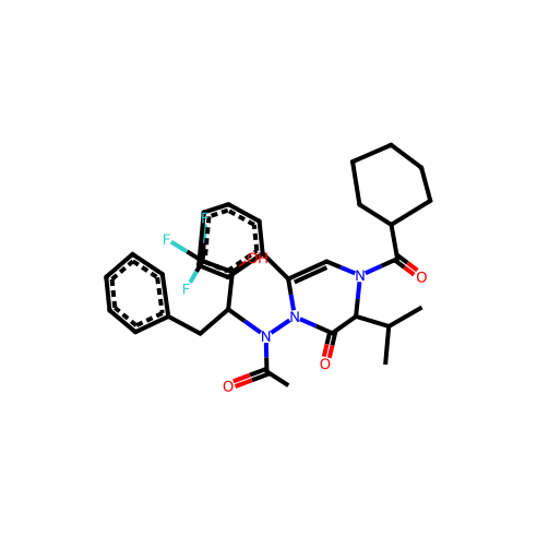 CC(=O)N(C(Cc1ccccc1)C(O)C(F)(F)F)N1C(=O)C(C(C)C)N(C(=O)C2CCCCC2)C=C1c1ccccc1